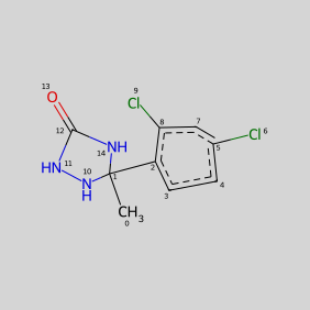 CC1(c2ccc(Cl)cc2Cl)NNC(=O)N1